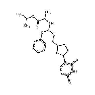 CC(C)OC(=O)C(C)NP(OCC1CCC(n2ccc(=O)[nH]c2=O)O1)Oc1ccccc1